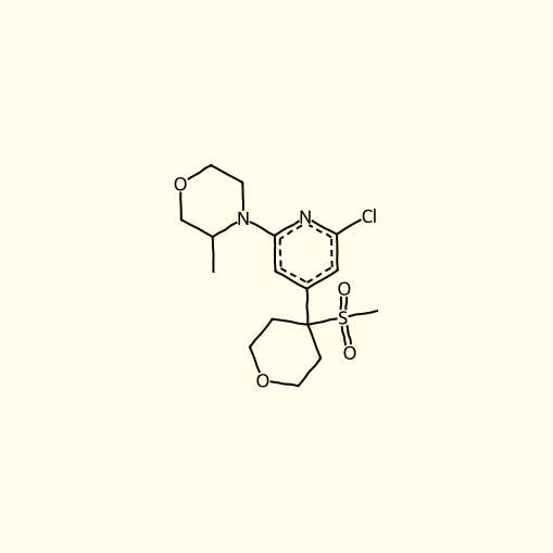 CC1COCCN1c1cc(C2(S(C)(=O)=O)CCOCC2)cc(Cl)n1